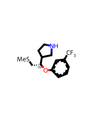 CSC[C@@H](Oc1cccc(C(F)(F)F)c1)C1CCNC1